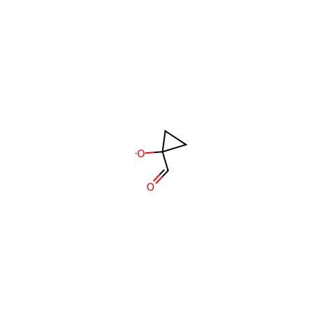 [O]C1(C=O)CC1